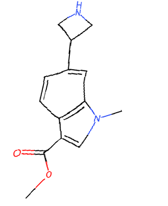 COC(=O)c1cn(C)c2cc(C3CNC3)ccc12